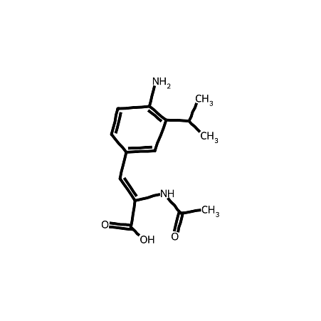 CC(=O)N/C(=C\c1ccc(N)c(C(C)C)c1)C(=O)O